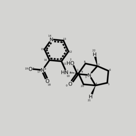 O=C(O)N1[C@@H]2CC[C@H]1C[C@@H](Nc1ccncc1[N+](=O)[O-])C2